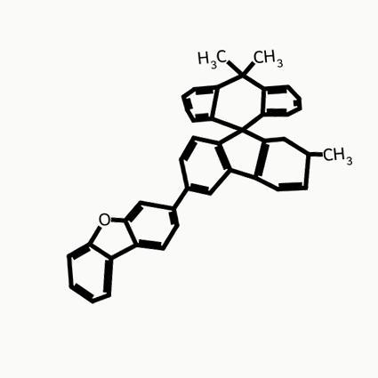 CC1C=CC2=C(C1)C1(c3ccc(-c4ccc5c(c4)oc4ccccc45)cc32)c2ccccc2C(C)(C)c2ccccc21